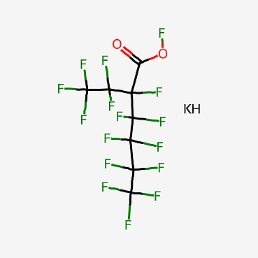 O=C(OF)C(F)(C(F)(F)C(F)(F)F)C(F)(F)C(F)(F)C(F)(F)C(F)(F)F.[KH]